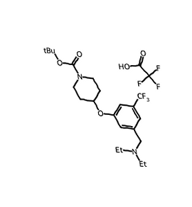 CCN(CC)Cc1cc(OC2CCN(C(=O)OC(C)(C)C)CC2)cc(C(F)(F)F)c1.O=C(O)C(F)(F)F